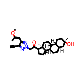 C#Cc1nn(CC(=O)C2CC[C@H]3[C@@H]4CC[C@@H]5C[C@](C)(O)CC[C@@H]5[C@H]4CC[C@]23C)nc1/C=C(\C)OC